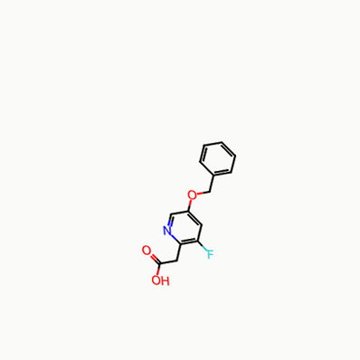 O=C(O)Cc1ncc(OCc2ccccc2)cc1F